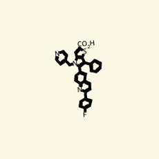 O=C(O)c1cc2c(s1)c(-c1ccccc1)c(-c1ccc3nc(-c4ccc(F)cc4)ccc3c1)n2Cc1ccncc1